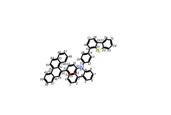 c1ccc(-c2ccccc2N(c2ccc(-c3cccc4c3sc3ccccc34)cc2)c2ccc(-c3cc4ccccc4c4ccc5ccccc5c34)cc2)cc1